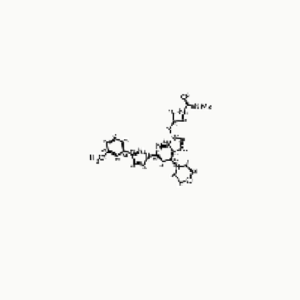 CNC(=O)N1CC(Cn2cnc3c(N4CCOCC4)cc(-n4ccc(-c5cccc(C)c5)n4)nc32)C1